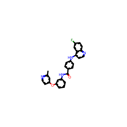 Cc1cc(Oc2cccc(NC(=O)c3ccc(Nc4ccnc5ccc(F)cc45)cc3)c2)ccn1